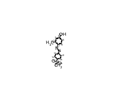 Cc1cc(O)ccc1N=Nc1ccc(S(C)(=O)=O)cc1